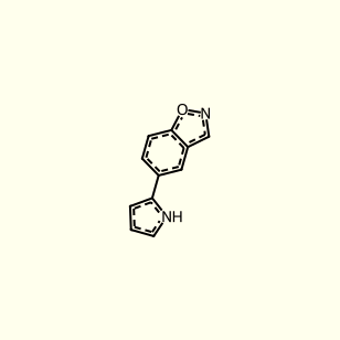 c1c[nH]c(-c2ccc3oncc3c2)c1